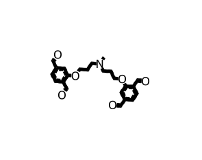 CN(CCCOc1cc(C=O)ccc1C=O)CCCOc1cc(C=O)ccc1C=O